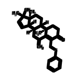 C=C1C[C@@H]2[C@H](CC[C@@]3(C)[C@H]2C=C[C@]3(C)O)[C@@]2(C)CCC(=O)C(CSc3ccccc3)=C12